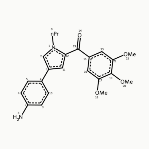 CCCn1cc(-c2ccc(N)cc2)cc1C(=O)c1cc(OC)c(OC)c(OC)c1